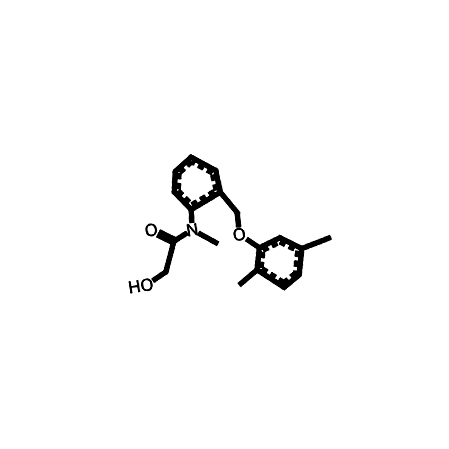 Cc1ccc(C)c(OCc2ccccc2N(C)C(=O)CO)c1